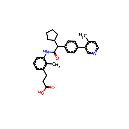 Cc1ccncc1-c1ccc(C(C(=O)Nc2cccc(CCC(=O)O)c2C)C2CCCC2)cc1